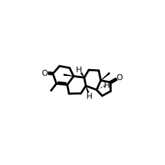 CC1=C2CC[C@@H]3[C@@H](CC[C@]4(C)C(=O)CC[C@@H]34)[C@@]2(C)CCC1=O